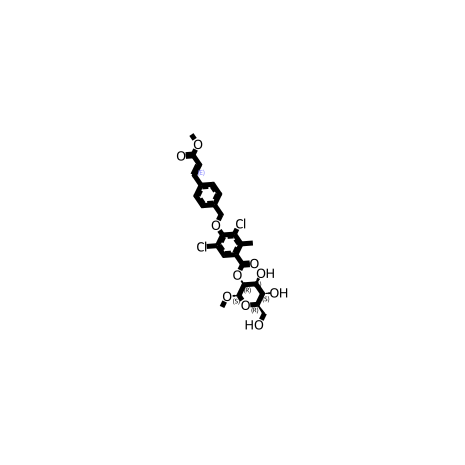 COC(=O)/C=C/c1ccc(COc2c(Cl)cc(C(=O)O[C@H]3[C@@H](OC)O[C@H](CO)[C@@H](O)[C@@H]3O)c(C)c2Cl)cc1